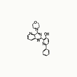 Oc1ccc(-c2ccccc2)nc1-c1nc(N2CCOCC2)c2ncccc2n1